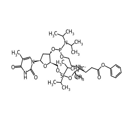 [C-]#[N+]CCOP(O[C@@H]1C[C@H](n2cc(C)c(=O)[nH]c2=O)O[C@@H]1CO[Si](OC(C)(C)CCCC(=O)Oc1ccccc1)(C(C)C)C(C)C)N(C(C)C)C(C)C